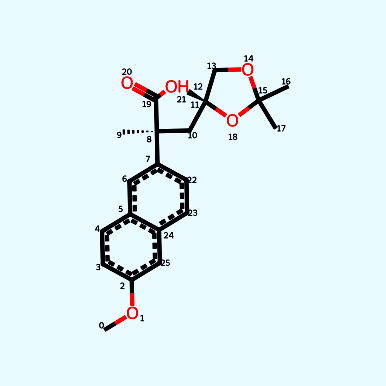 COc1ccc2cc([C@](C)(C[C@]3(C)COC(C)(C)O3)C(=O)O)ccc2c1